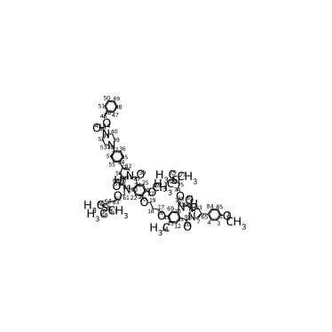 COc1ccc(C2=CN3C(=O)c4cc(C)c(OCCCOc5cc6c(cc5OC)C(=O)N5C=C(c7ccc(N8CCN(C(=O)OCc9ccccc9)CC8)cc7)C[C@H]5C(=O)N6COCC[Si](C)(C)C)cc4N(COCC[Si](C)(C)C)C(=O)[C@@H]3C2)cc1